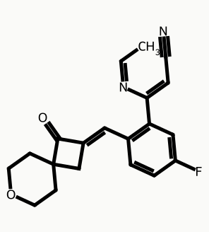 C/C=N\C(=C/C#N)c1cc(F)ccc1/C=C1\CC2(CCOCC2)C1=O